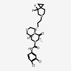 C[C@H]1C(=O)N2[C@@H](CCCN3CCC4(CC4)C(F)(F)C3)COC[C@H]2CN1C(=O)Nc1ccc(Cl)c(Cl)c1